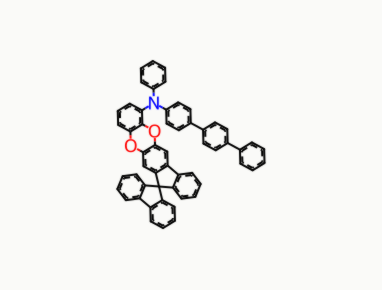 c1ccc(-c2ccc(-c3ccc(N(c4ccccc4)c4cccc5c4Oc4cc6c(cc4O5)C4(c5ccccc5-c5ccccc54)c4ccccc4-6)cc3)cc2)cc1